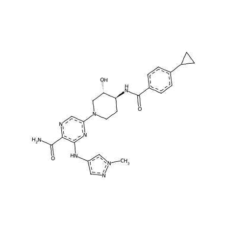 Cn1cc(Nc2nc(N3CC[C@H](NC(=O)c4ccc(C5CC5)cc4)[C@@H](O)C3)cnc2C(N)=O)cn1